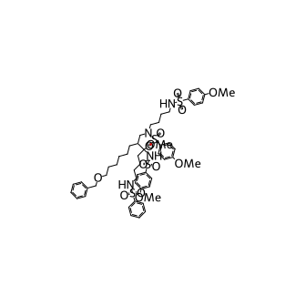 COc1ccc(S(=O)(=O)NCCCCN(CC(CCCCCCOCc2ccccc2)C(CCCCNS(=O)(=O)c2ccccc2)(NS(=O)(=O)c2ccc(OC)cc2)OC)S(=O)(=O)c2ccc(OC)cc2)cc1